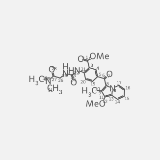 COC(=O)c1cc(C(=O)c2c(C)c(OC)c3ccccn23)ccc1NC(=O)NCC(=O)N(C)C